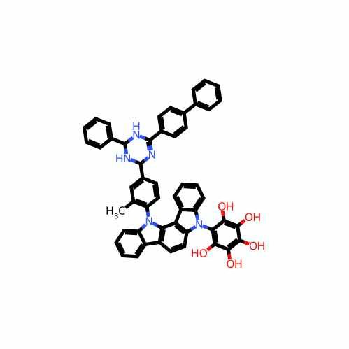 Cc1cc(C2N=C(c3ccc(-c4ccccc4)cc3)NC(c3ccccc3)N2)ccc1-n1c2ccccc2c2ccc3c(c4ccccc4n3-c3c(O)c(O)c(O)c(O)c3O)c21